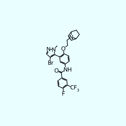 Cn1ncc(Br)c1-c1cc(NC(=O)c2ccc(F)c(C(F)(F)F)c2)ccc1OCCN1C2CCC1CC2